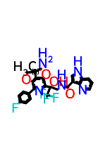 C[C@]1(C(N)=O)COc2c1cc(C(O)(CNC(=O)c1c[nH]c3cccnc13)C(F)(F)F)nc2-c1ccc(F)cc1